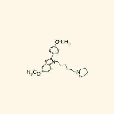 COc1ccc(-c2cc3cc(OC)ccc3n2CCCCCCN2CCCCC2)cc1